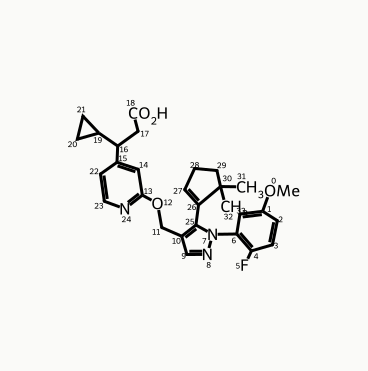 COc1ccc(F)c(-n2ncc(COc3cc(C(CC(=O)O)C4CC4)ccn3)c2C2=CCCC2(C)C)c1